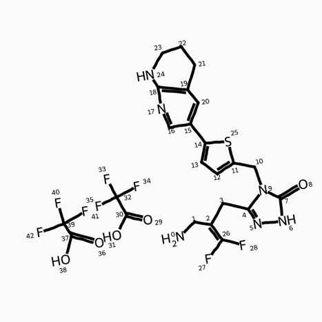 NCC(Cc1n[nH]c(=O)n1Cc1ccc(-c2cnc3c(c2)CCCN3)s1)=C(F)F.O=C(O)C(F)(F)F.O=C(O)C(F)(F)F